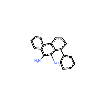 Nc1c(N)c2c(-c3ccccc3)cccc2c2ccccc12